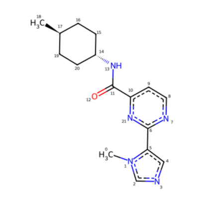 Cn1cncc1-c1nccc(C(=O)N[C@H]2CC[C@H](C)CC2)n1